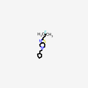 CC(C)(F)CCc1nc2c(s1)CCN(CCC1CCCCC1)CC2